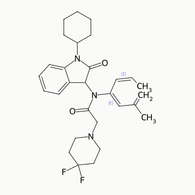 C=C(C)/C=C(\C=C/C)N(C(=O)CN1CCC(F)(F)CC1)C1C(=O)N(C2CCCCC2)c2ccccc21